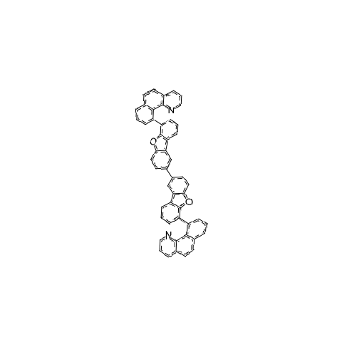 c1cnc2c(c1)ccc1cccc(-c3cccc4c3oc3ccc(-c5ccc6oc7c(-c8cccc9ccc%10cccnc%10c89)cccc7c6c5)cc34)c12